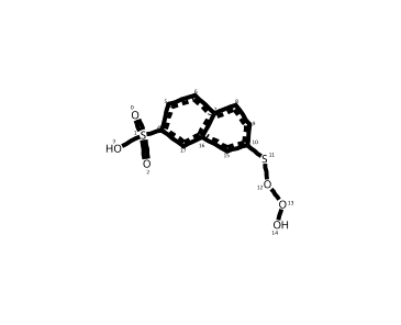 O=S(=O)(O)c1ccc2ccc(SOOO)cc2c1